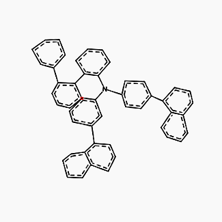 c1ccc(-c2ccccc2-c2ccccc2N(c2ccc(-c3cccc4ccccc34)cc2)c2cccc(-c3cccc4ccccc34)c2)cc1